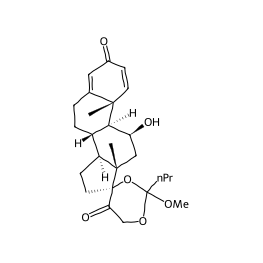 CCCC1(OC)OCC(=O)[C@]2(CC[C@H]3[C@@H]4CCC5=CC(=O)C=C[C@]5(C)[C@H]4[C@@H](O)C[C@@]32C)O1